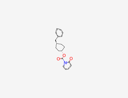 O=C(O[C@H]1CC[C@H](Cc2ccccc2)CC1)n1ccccc1=O